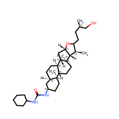 C[C@@H](CO)CCC1O[C@H]2C[C@H]3[C@@H]4CC[C@@H]5C[C@H](NC(=O)NC6CCCCC6)CC[C@]5(C)[C@H]4CC[C@]3(C)[C@H]2[C@@H]1C